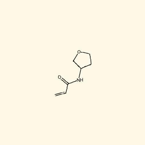 C=CC(=O)NC1CCOC1